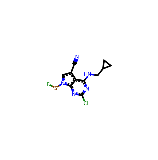 N#Cc1cn(SF)c2nc(Cl)nc(NCC3CC3)c12